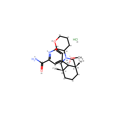 CO[C@@]1(c2ccnc(C(N)=O)c2)[C@@H]2CCC[C@H]1CN(C1CCCOC1)C2.Cl